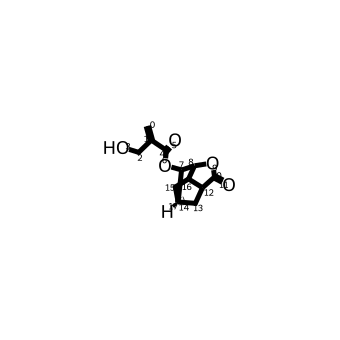 C=C(CO)C(=O)OC1C2OC(=O)C3C[C@@H]1CC32